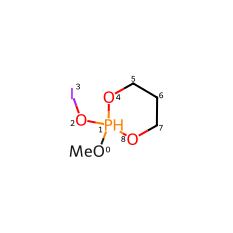 CO[PH]1(OI)OCCCO1